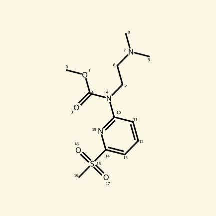 COC(=O)N(CCN(C)C)c1cccc(S(C)(=O)=O)n1